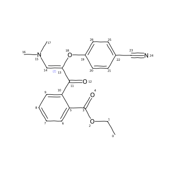 CCOC(=O)c1ccccc1C(=O)/C(=C/N(C)C)Oc1ccc(C#N)cc1